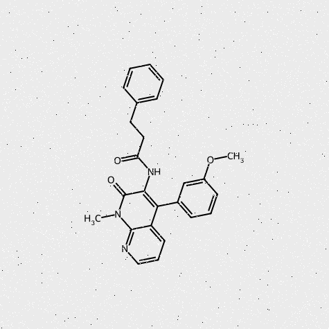 COc1cccc(-c2c(NC(=O)CCc3ccccc3)c(=O)n(C)c3ncccc23)c1